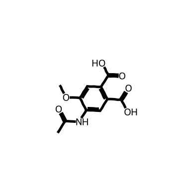 COc1cc(C(=O)O)c(C(=O)O)cc1NC(C)=O